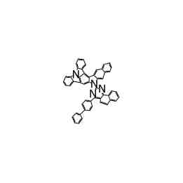 c1ccc(-c2ccc(-c3nc(-n4c5cc6ccccc6cc5c5c6c7ccccc7n7c8ccccc8c(cc54)c67)nc4c3ccc3ccccc34)cc2)cc1